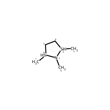 CN1[SiH](C)CC[SiH]1C